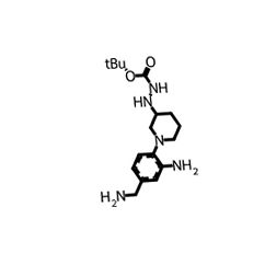 CC(C)(C)OC(=O)NNC1CCCN(c2ccc(CN)cc2N)C1